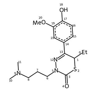 CCC1SC(=O)N(CCCN(C)C)N=C1c1ccc(O)c(OC)c1